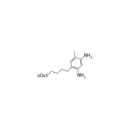 CCCCCCCCCCCCc1cc(C)c(N)cc1N